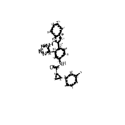 Cc1cccc([C@@H]2C[C@H]2C(=O)Nc2ccc(-c3cc4ccccc4s3)c(-c3nnn[nH]3)c2)c1